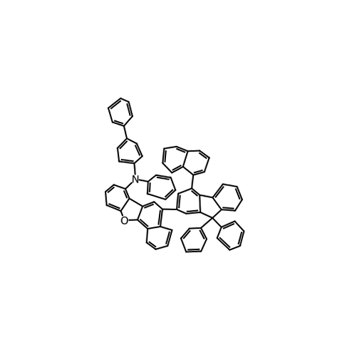 c1ccc(-c2ccc(N(c3ccccc3)c3cccc4oc5c6ccccc6c(-c6cc(-c7cccc8ccccc78)c7c(c6)C(c6ccccc6)(c6ccccc6)c6ccccc6-7)cc5c34)cc2)cc1